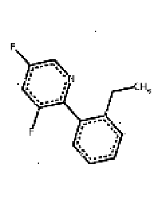 CCc1[c]cccc1-c1ncc(F)cc1F